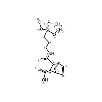 CO[Si](CCCNC(=O)C1C2C=CC(C2)C1C(=O)O)(OC)OC